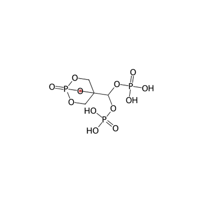 O=P(O)(O)OC(OP(=O)(O)O)C12COP(=O)(OC1)OC2